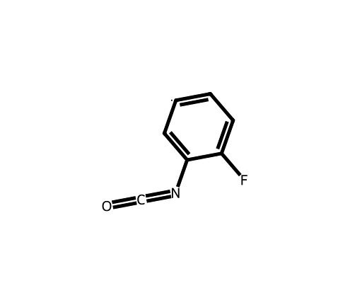 O=C=Nc1c[c]ccc1F